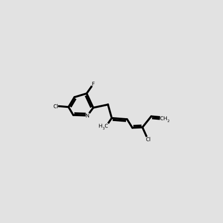 C=C/C(Cl)=C\C=C(/C)Cc1ncc(Cl)cc1F